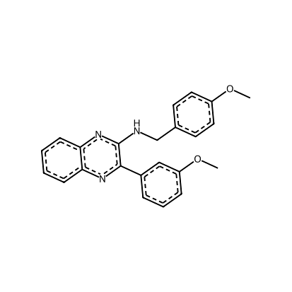 COc1ccc(CNc2nc3ccccc3nc2-c2cccc(OC)c2)cc1